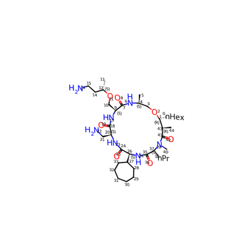 CCCCCC[C@H]1OC[C@H](C)NC(=O)[C@H](CO[C@@H](C)CCN)NC(=O)[C@H](CN)NC(=O)[C@H](C2CCCCCC2)NC(=O)[C@H](CCC)N(C)C(=O)[C@@H]1C